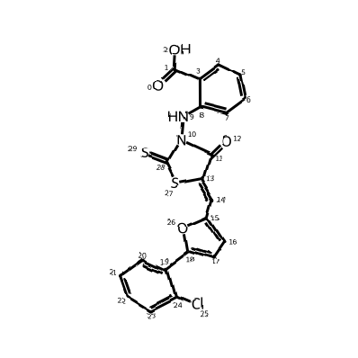 O=C(O)c1ccccc1NN1C(=O)C(=Cc2ccc(-c3ccccc3Cl)o2)SC1=S